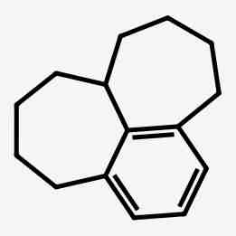 c1cc2c3c(c1)CCCCC3CCCC2